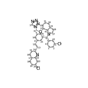 Clc1cccc(C(c2cccc(/C=C/c3ccc4ccc(Cl)cc4n3)c2)n2ccc3cccc(OCn4cnnn4)c32)c1